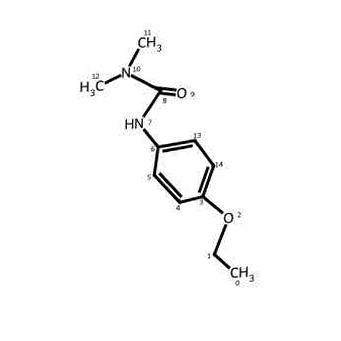 CCOc1[c]cc(NC(=O)N(C)C)cc1